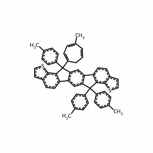 CC1=CC=C(C2(c3ccc(C)cc3)c3cc4c(cc3-c3ccc5ccsc5c32)C(c2ccc(C)cc2)(c2ccc(C)cc2)c2c-4ccc3ccsc23)CC=C1